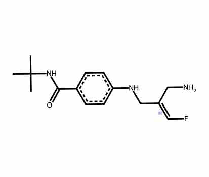 CC(C)(C)NC(=O)c1ccc(NC/C(=C/F)CN)cc1